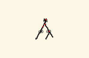 CCCCCCCCCOC(=O)CCCCCCCN(CCCCCCCC(=O)OC(CCCCCC)CCCCCCCC)CCc1nc(C)no1